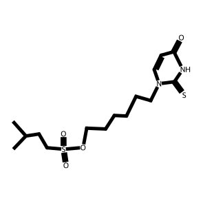 CC(C)CCS(=O)(=O)OCCCCCCn1ccc(=O)[nH]c1=S